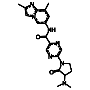 Cc1cn2cc(NC(=O)c3cnc(N4CCC(N(C)C)C4=O)cn3)cc(C)c2n1